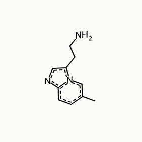 Cc1ccc2ncc(CCN)n2c1